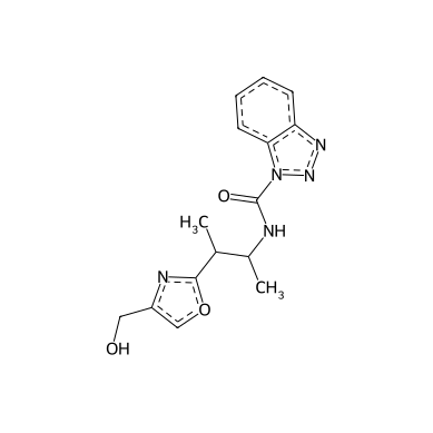 CC(NC(=O)n1nnc2ccccc21)C(C)c1nc(CO)co1